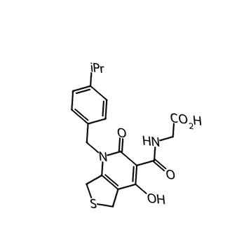 CC(C)c1ccc(Cn2c3c(c(O)c(C(=O)NCC(=O)O)c2=O)CSC3)cc1